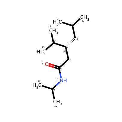 CC(C)C[C@H](CC(=O)NC(C)C)C(C)C